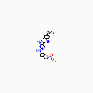 COc1ccc(Nc2nn(C)c3nc(Nc4ccc5c(c4)CN(C(=O)C(F)(F)F)CC5)ncc23)c(C)c1